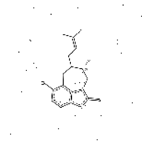 CC(C)=CCC1Cc2c(Cl)ccc3[nH]c(=S)n(c23)C[C@H]1C